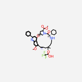 COC(=O)[C@@H]1C[C@@H]2CN1C(=O)[C@H](C1CCCCC1)NCCCC(C)(C)C/C=C/c1cc3c(cc(-c4ccccc4)nc3cc1OC)O2.O=C(O)C(F)(F)F